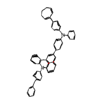 c1ccc(N(c2ccccc2)c2ccc(-c3ccccc3)cc2)c(-c2cccc(-c3ccc(N(c4ccccc4)c4ccc(C5=CCCCC=C5)cc4)cc3)c2)c#1